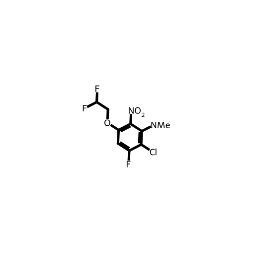 CNc1c(Cl)c(F)cc(OCC(F)F)c1[N+](=O)[O-]